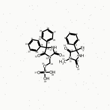 CCC1(c2ccccc2)NC(=O)N(C)C1=O.O=C1NC(c2ccccc2)(c2ccccc2)C(=O)N1COP(=O)(O)O